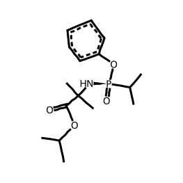 CC(C)OC(=O)C(C)(C)N[P@@](=O)(Oc1ccccc1)C(C)C